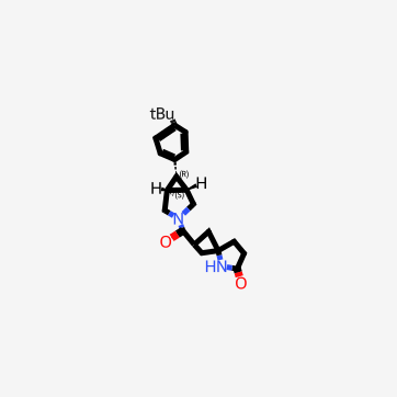 CC(C)(C)c1ccc([C@@H]2[C@@H]3CN(C(=O)C4CC5(CCC(=O)N5)C4)C[C@@H]32)cc1